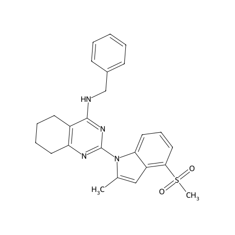 Cc1cc2c(S(C)(=O)=O)cccc2n1-c1nc2c(c(NCc3ccccc3)n1)CCCC2